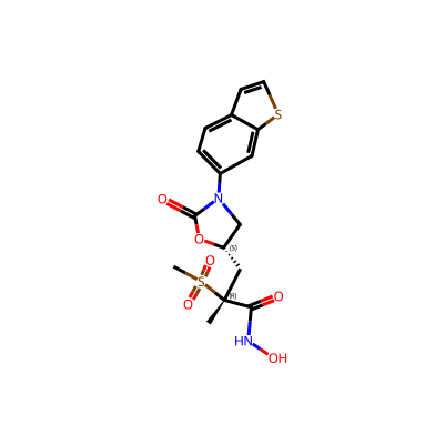 C[C@@](C[C@H]1CN(c2ccc3ccsc3c2)C(=O)O1)(C(=O)NO)S(C)(=O)=O